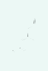 C=CCC(N)=CC(N)=S